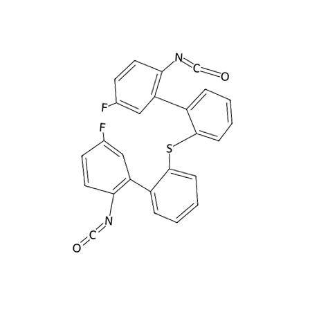 O=C=Nc1ccc(F)cc1-c1ccccc1Sc1ccccc1-c1cc(F)ccc1N=C=O